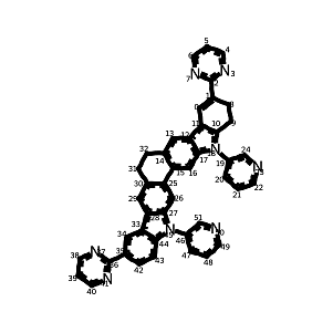 C1=C(c2ncccn2)CCc2c1c1cc3c(cc1n2-c1cccnc1)-c1cc2c(cc1CC3)c1cc(-c3ncccn3)ccc1n2-c1cccnc1